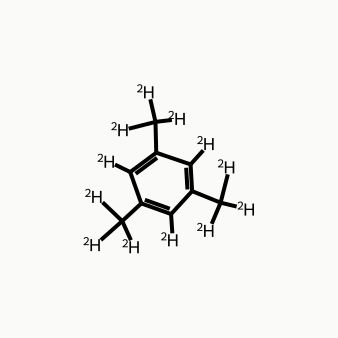 [2H]c1c(C([2H])([2H])[2H])c([2H])c(C([2H])([2H])[2H])c([2H])c1C([2H])([2H])[2H]